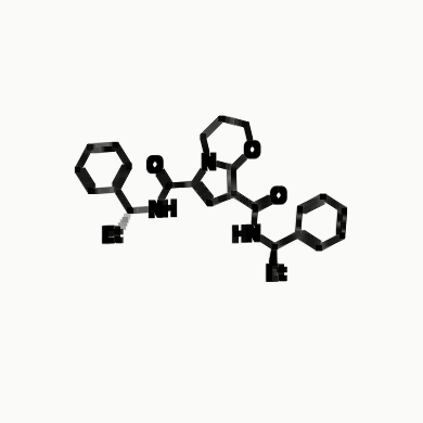 CC[C@@H](NC(=O)c1cc(C(=O)N[C@H](CC)c2ccccc2)n2c1OCCC2)c1ccccc1